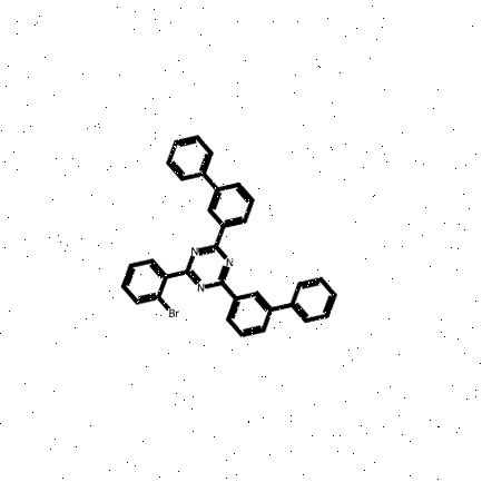 Brc1ccccc1-c1nc(-c2cccc(-c3ccccc3)c2)nc(-c2cccc(-c3ccccc3)c2)n1